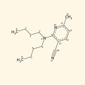 CCCCN(CCCC)c1nc(C)ccc1C#N